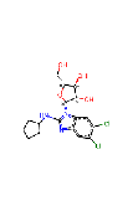 OC[C@H]1O[C@@H](n2c(NC3CCCC3)nc3cc(Cl)c(Cl)cc32)[C@H](O)[C@@H]1O